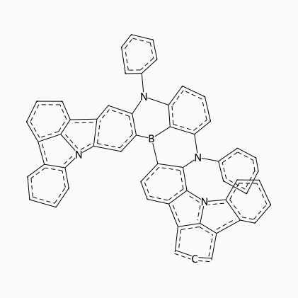 c1ccc(N2c3cc4c5cccc6c7ccccc7n(c4cc3B3c4ccc7c8cccc9c%10ccccc%10n(c7c4N(c4ccccc4)c4cccc2c43)c98)c65)cc1